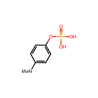 CNc1ccc(OP(=O)(O)O)cc1